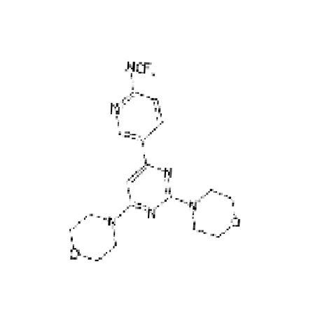 FC(F)(F)Nc1ccc(-c2cc(N3CCOCC3)nc(N3CCOCC3)n2)cn1